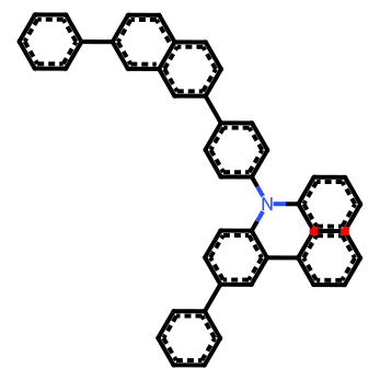 c1ccc(-c2ccc(N(c3ccccc3)c3ccc(-c4ccc5ccc(-c6ccccc6)cc5c4)cc3)c(-c3ccccc3)c2)cc1